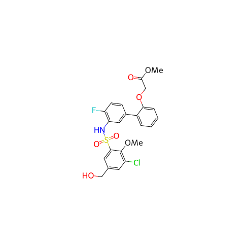 COC(=O)COc1ccccc1-c1ccc(F)c(NS(=O)(=O)c2cc(CO)cc(Cl)c2OC)c1